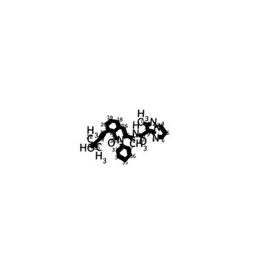 Cc1nn2cccnc2c1C(=O)N[C@@H](C)c1cc2cccc(C#CC(C)(C)O)c2c(=O)n1-c1ccccc1